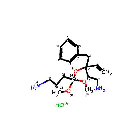 C=CC(CCN)(Cc1ccccc1)O[Si](CCCN)(OC)OC.Cl